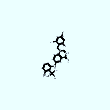 O=c1ncn(Cc2c(F)cc(F)cc2F)c2ccc(Oc3cccc(Br)c3C(F)(F)F)cc12